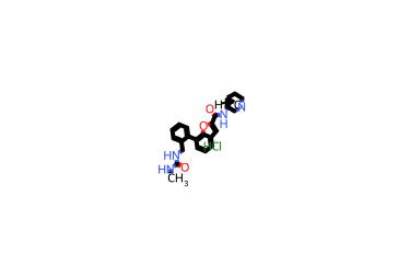 CNC(=O)NCc1ccccc1-c1cccc2cc(C(=O)N[C@H]3CN4CCC3CC4)oc12.Cl